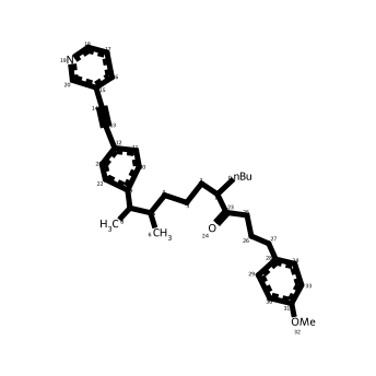 CCCCC(CCCC(C)C(C)c1ccc(C#Cc2cccnc2)cc1)C(=O)CCCc1ccc(OC)cc1